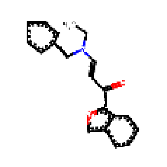 CCN(C=CC(=O)c1occ2ccccc12)Cc1ccccc1